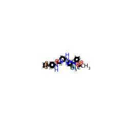 CC(C)S(=O)(=O)c1ccccc1Nc1nc(N[C@@H]2CCCN(CC(=O)Nc3ccc([As]4SCCS4)cc3)C2)ncc1Cl